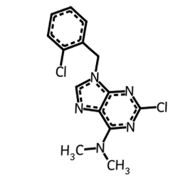 CN(C)c1nc(Cl)nc2c1ncn2Cc1ccccc1Cl